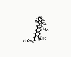 CCCCCCCCCCCCCCCCCCOC(=O)c1ccccc1C(=O)OCCCCCCCCCCCCCCCC.[Na]